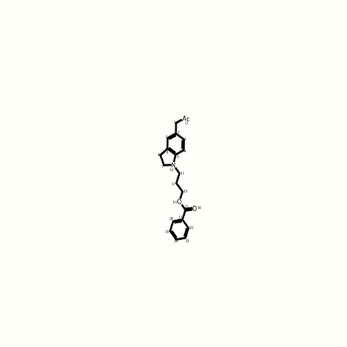 CC(=O)Cc1ccc2c(c1)CCN2CCCOC(=O)c1ccccc1